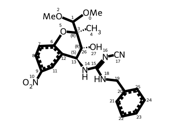 COC(OC)[C@]1(C)Oc2ccc([N+](=O)[O-])cc2[C@H](NC(=NC#N)NCc2ccccc2)[C@H]1O